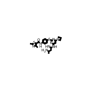 Cc1nc(C)c(C(=O)Nc2ccc(Sc3nc(NC(=N)CC(C)N)cc(N4CCC4)n3)cc2)s1